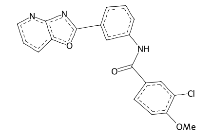 COc1ccc(C(=O)Nc2cccc(-c3nc4ncccc4o3)c2)cc1Cl